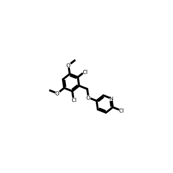 COc1cc(OC)c(Cl)c(COc2ccc(Cl)nc2)c1Cl